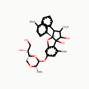 COc1ccc([C@]23Oc4cc(O[C@@H]5O[C@@H]([C@H](O)CO)CO[C@H]5OC)cc(OC)c4C2(O)C(O)C(C(=O)O)C3c2ccccc2)cc1